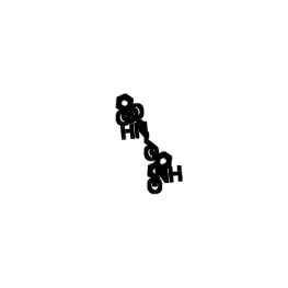 O=c1ccc2c(OCCCNCC3COc4ccccc4O3)cccc2[nH]1